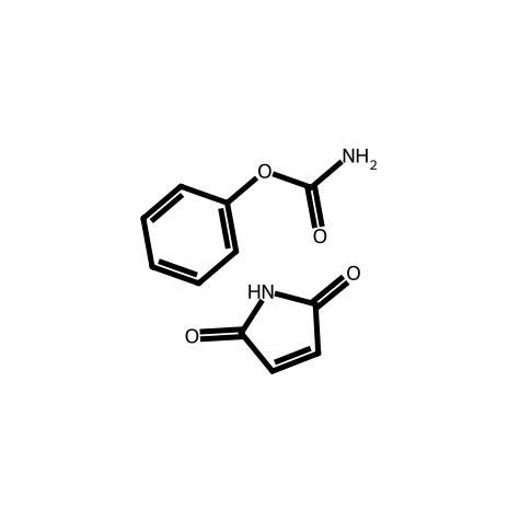 NC(=O)Oc1ccccc1.O=C1C=CC(=O)N1